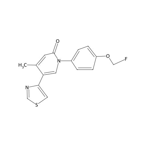 Cc1cc(=O)n(-c2ccc(OCF)cc2)cc1-c1cscn1